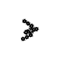 c1ccc(-c2ccc(-c3cccc(/C4=N/c5cc6ccccc6nc5/C(c5cccc(-c6ccc(-c7ccccc7)cc6)c5)=N\c5cc6ccccc6nc54)c3)cc2)cc1